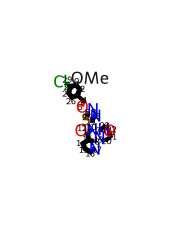 COc1cc(COc2nnc(NC(=O)c3cccnc3N3CCOCC3)s2)ccc1Cl